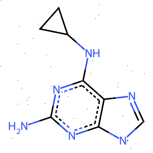 Nc1nc2c(c(NC3CC3)n1)N=C[N]2